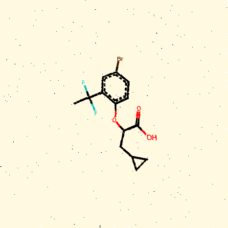 CC(F)(F)c1cc(Br)ccc1OC(CC1CC1)C(=O)O